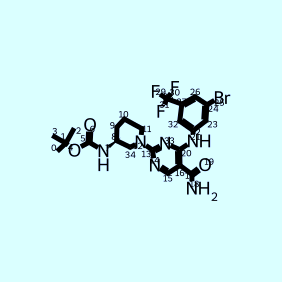 CC(C)(C)OC(=O)N[C@H]1CCCN(c2ncc(C(N)=O)c(Nc3cc(Br)cc(C(F)(F)F)c3)n2)C1